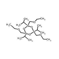 CCOC[Si]1(C(C)C)O[Si](COCC)(C(C)C)O[Si](COCC)(C(C)C)O1